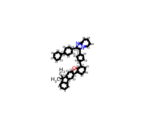 CC1(C)c2ccccc2-c2cc3c(cc21)oc1c(-c2ccc(-c4c(-c5ccc(-c6ccccc6)cc5)nc5ccccn45)cc2)cccc13